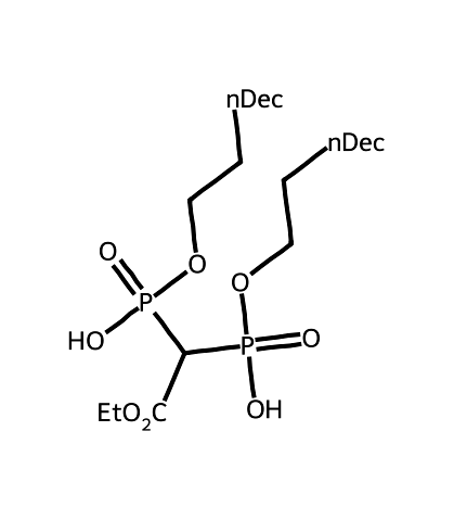 CCCCCCCCCCCCOP(=O)(O)C(C(=O)OCC)P(=O)(O)OCCCCCCCCCCCC